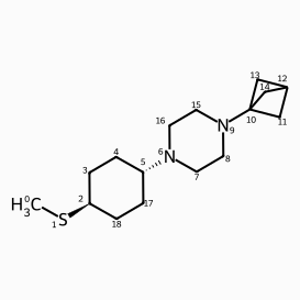 CS[C@H]1CC[C@H](N2CCN(C34CC(C3)C4)CC2)CC1